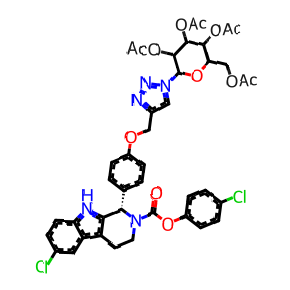 CC(=O)OCC1OC(n2cc(COc3ccc([C@H]4c5[nH]c6ccc(Cl)cc6c5CCN4C(=O)Oc4ccc(Cl)cc4)cc3)nn2)C(OC(C)=O)C(OC(C)=O)C1OC(C)=O